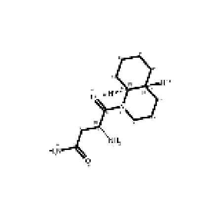 NC(=O)C[C@@H](N)C(=O)N1CCC[C@H]2CCCC[C@@H]21